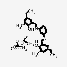 CC(=O)[O-].CC(=O)[O-].CCc1cc(C)c(O)c(C=Nc2cccc(N=Cc3cc(CC)cc(C)c3O)c2)c1.[Co+2]